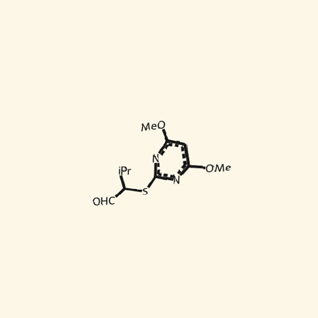 COc1cc(OC)nc(SC(C=O)C(C)C)n1